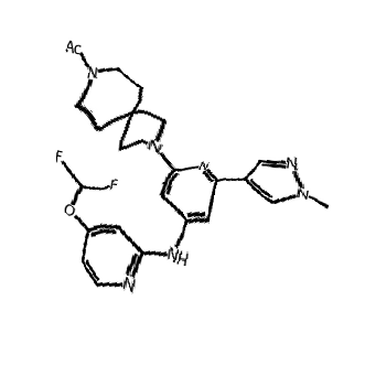 CC(=O)N1CCC2(CC1)CN(c1cc(Nc3cc(OC(F)F)ccn3)cc(-c3cnn(C)c3)n1)C2